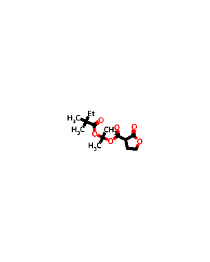 CCC(C)(C)C(=O)OC(C)(C)OC(=O)C1CCOC1=O